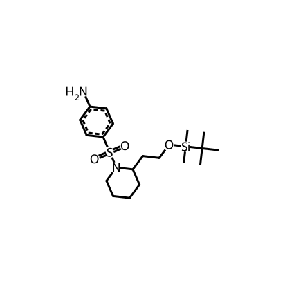 CC(C)(C)[Si](C)(C)OCCC1CCCCN1S(=O)(=O)c1ccc(N)cc1